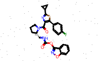 O=C(NC[C@@H]1CCCN1C(=O)c1nc(C2CC2)sc1-c1ccc(F)cc1)Oc1noc2ccccc12